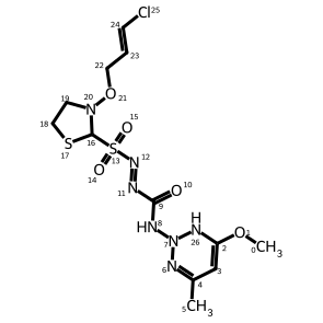 COC1=CC(C)=NN(NC(=O)/N=N/S(=O)(=O)C2SCCN2OC/C=C/Cl)N1